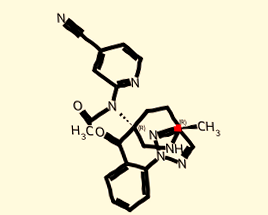 CC(=O)N(c1cc(C#N)ccn1)[C@]1(C(=O)c2ccccc2-n2nccn2)CC[C@@H](C)NC1